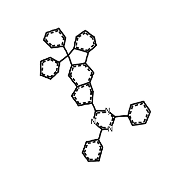 c1ccc(-c2nc(-c3ccccc3)nc(-c3ccc4cc5c(cc4c3)-c3ccccc3C5(c3ccccc3)c3ccccc3)n2)cc1